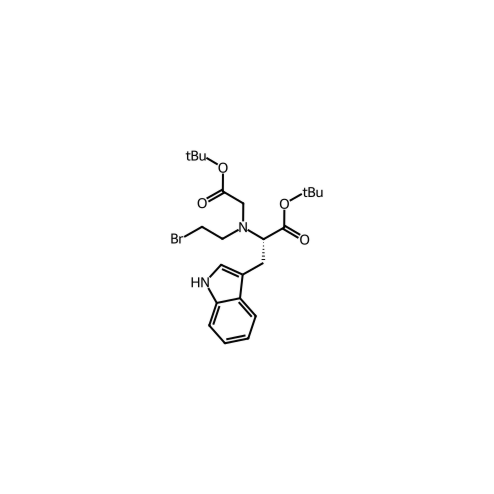 CC(C)(C)OC(=O)CN(CCBr)[C@@H](Cc1c[nH]c2ccccc12)C(=O)OC(C)(C)C